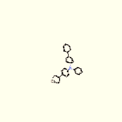 C/C=C(\C=C/CC)c1ccc(N(c2ccccc2)c2ccc(-c3ccccc3)cc2)cc1